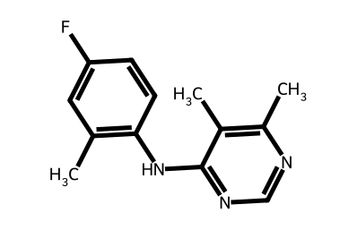 Cc1cc(F)ccc1Nc1ncnc(C)c1C